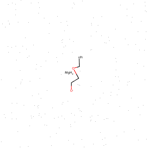 CCCCOCC[O].[MgH2]